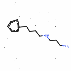 NCCCNCCCCc1ccccc1